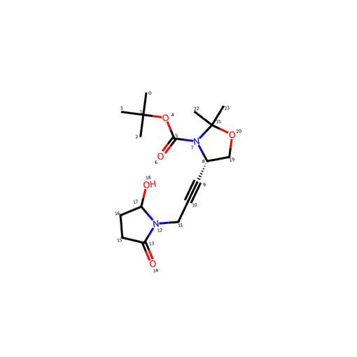 CC(C)(C)OC(=O)N1[C@@H](C#CCN2C(=O)CCC2O)COC1(C)C